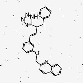 C(=CC(Cc1ccccc1)c1nnn[nH]1)c1cccc(OCc2ccc3ccccc3n2)c1